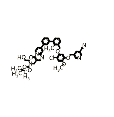 COc1cc(Cl)c(OCc2cccc(-c3cccc(-c4ccn5c(=O)c(CN(CCO)C(=O)OC(C)(C)C)cnc5c4)c3)c2C)cc1OCc1cncc(C#N)c1